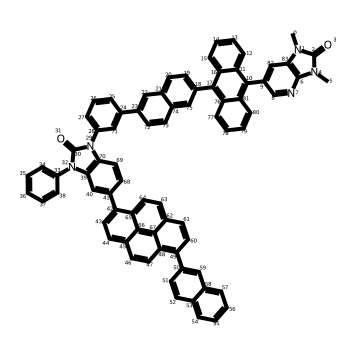 Cn1c(=O)n(C)c2ncc(-c3c4ccccc4c(-c4ccc5cc(-c6cccc(-n7c(=O)n(-c8ccccc8)c8cc(-c9ccc%10ccc%11c(-c%12ccc%13ccccc%13c%12)ccc%12ccc9c%10c%12%11)ccc87)c6)ccc5c4)c4ccccc34)cc21